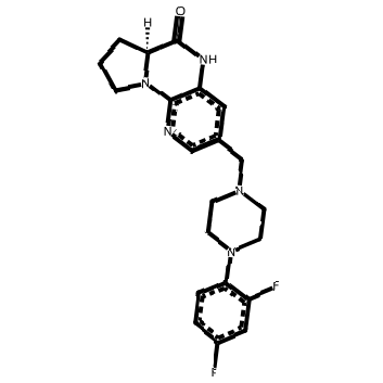 O=C1Nc2cc(CN3CCN(c4ccc(F)cc4F)CC3)cnc2N2CCC[C@@H]12